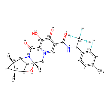 Cc1ccc([C@H](NC(=O)c2cn3c(c(O)c2=O)C(=O)N2C4CC(O[C@H]2C3)[C@@H]2C[C@H]42)C(F)(F)F)c(F)c1